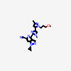 COCCCn1nc(C)cc1-c1cn(C)c(-c2nc(C#N)cc3c2cnn3C2CC2)n1